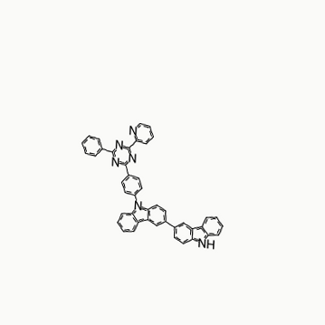 c1ccc(-c2nc(-c3ccc(-n4c5ccccc5c5cc(-c6ccc7[nH]c8ccccc8c7c6)ccc54)cc3)nc(-c3ccccn3)n2)cc1